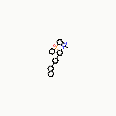 Cc1nc2cccc3c2n1-c1ccc(-c2ccc(-c4ccc5ccccc5c4)cc2)cc1P3(=O)c1ccccc1